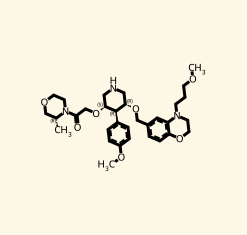 COCCCN1CCOc2ccc(CO[C@H]3CNC[C@@H](OCC(=O)N4CCOC[C@H]4C)[C@@H]3c3ccc(OC)cc3)cc21